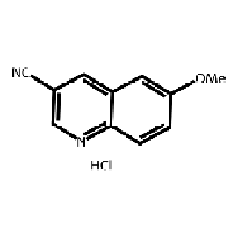 COc1ccc2ncc(C#N)cc2c1.Cl